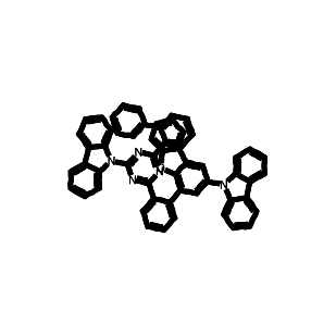 c1ccc(-c2ccccc2-c2nc(-c3ccccc3-c3cc(-n4c5ccccc5c5ccccc54)cc4c3oc3ccccc34)nc(-n3c4ccccc4c4ccccc43)n2)cc1